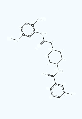 CCOc1ccc(C=O)c(NC(=O)CN2CCC(NC(=O)c3cccc(F)c3)CC2)c1